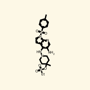 CCS(=O)(=O)OC1(C)CCN(Nc2c(N)cnc3c2ccn3S(=O)(=O)c2ccc(C)cc2)CC1